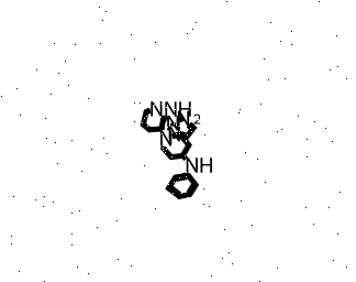 NC1(n2nccn2)[N]CCCC1N1CCC(Nc2ccccc2)CC1